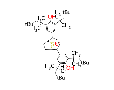 CC(C)(C)CC(C)(C)c1cc(C2CCC(c3cc(C(C)(C)CC(C)(C)C)c(O)c(C(C)(C)CC(C)(C)C)c3)C3CCC2[S+]3[O-])cc(C(C)(C)CC(C)(C)C)c1O